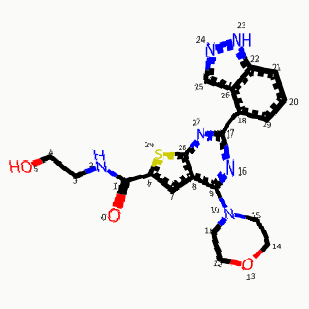 O=C(NCCO)c1cc2c(N3CCOCC3)nc(-c3cccc4[nH]ncc34)nc2s1